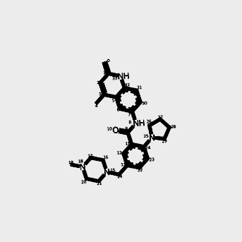 C=C1C=C(C)c2cc(NC(=O)c3cc(CN4CCN(C)CC4)ccc3N3CCCC3)ccc2N1